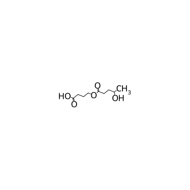 CC(O)CCC(=O)OCCCC(=O)O